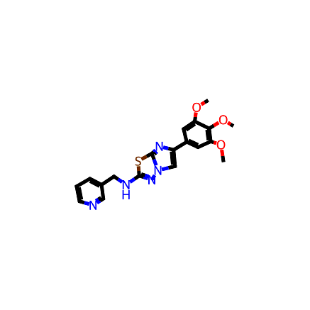 COc1cc(-c2cn3nc(NCc4cccnc4)sc3n2)cc(OC)c1OC